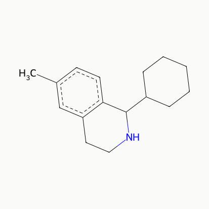 Cc1ccc2c(c1)CCNC2C1CCCCC1